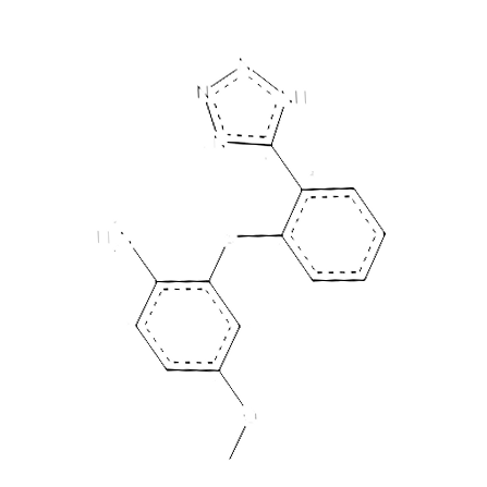 COc1ccc(N)c(Sc2ccccc2-c2nnn[nH]2)c1